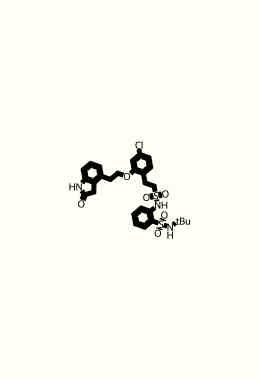 CC(C)(C)NS(=O)(=O)c1ccccc1NS(=O)(=O)CCc1ccc(Cl)cc1OCCc1cccc2c1CC(=O)N2